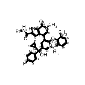 CCNC(=O)c1cc2c(-c3cc(C(O)(c4ccc(F)cc4)C4CC4)cnc3Oc3c(C)cccc3C)cn(C)c(=O)c2[nH]1